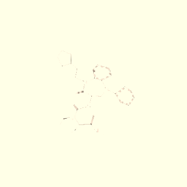 CCC[C@H](C(N)=O)[C@@H](CC(C)C)C(=O)NC1CN(c2ccccc2)c2ccccc2N(CCC2CCCC2)C1=O